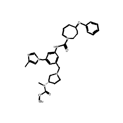 Cc1cn(-c2cc(CN3CC[C@H](N(C)C(=O)OC(C)(C)C)C3)cc(NC(=O)N3CCCC(Oc4ccccc4)CC3)c2)cn1